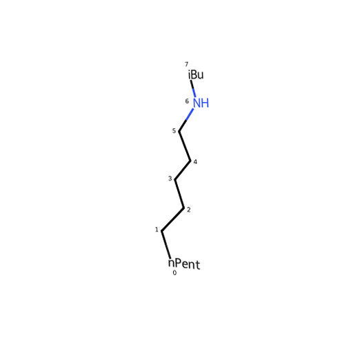 CCCCCCCCCCNC(C)CC